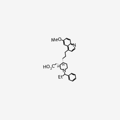 CCC(c1ccccc1)N1CC[C@@H](CCCc2ccnc3ccc(OC)cc23)[C@@H](CC(=O)O)C1